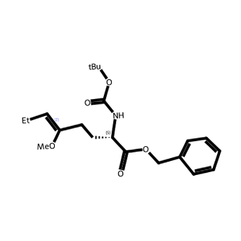 CC/C=C(/CC[C@H](NC(=O)OC(C)(C)C)C(=O)OCc1ccccc1)OC